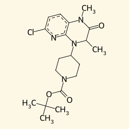 CC1C(=O)N(C)c2ccc(Cl)nc2N1C1CCN(C(=O)OC(C)(C)C)CC1